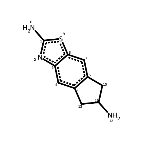 Nc1nc2cc3c(cc2s1)CC(N)C3